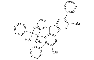 [CH2]=[Zr]([C]1=CC=CC1)([c]1c2c(cc(C(C)(C)C)c1-c1ccccc1)-c1cc(C(C)(C)C)c(-c3ccccc3)cc1C2)[C](C)(C)c1ccccc1